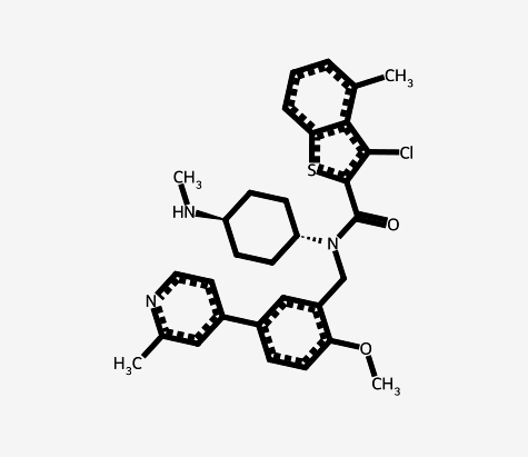 CN[C@H]1CC[C@H](N(Cc2cc(-c3ccnc(C)c3)ccc2OC)C(=O)c2sc3cccc(C)c3c2Cl)CC1